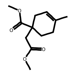 COC(=O)CC1(C(=O)OC)CC=C(C)CC1